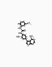 Br.Nc1ncnc2scc(-c3ccc(NC(=O)Nc4cc(C(F)(F)F)ccc4F)cc3)c12